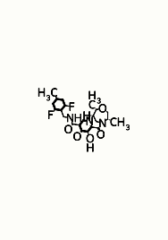 Cc1cc(F)c(CNC(=O)c2cn3c(c(O)c2=O)C(=O)N2C[C@@H]3[C@@H](C)OC[C@@H]2C)c(F)c1